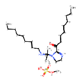 CCCCCCCCCCCCCCCCCCNC(C)(C)N1CCN=C1C(=O)CCCCCCCCCCCCCCCCC.COS(=O)(=O)O